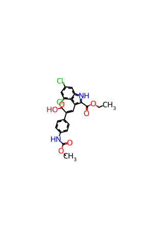 CCOC(=O)c1[nH]c2cc(Cl)cc(Cl)c2c1C=C(C(=O)O)c1ccc(NC(=O)OC)cc1